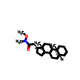 CON(C)C(=O)C[C@H]1CCC2C3CC[C@@H]4CCCC[C@]4(C)C3CC[C@@]21C